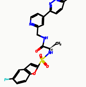 C[C@H](NS(=O)(=O)c1cc2cc(F)ccc2o1)C(=O)NCc1cc(-c2ccc(C(F)(F)F)nn2)ccn1